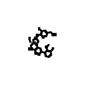 COc1c(F)cccc1-c1cc2c(nn1)NC[C@@]1(CF)C[C@@H](Oc3ncc(CO)cc3F)CN21